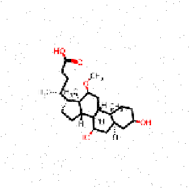 CO[C@H]1C[C@H]2[C@@H]([C@H](O)C[C@@H]3C[C@H](O)CC[C@@]32C)[C@@H]2CC[C@H]([C@H](C)CCC(=O)O)[C@@]12C